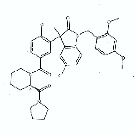 COc1ccc(CN2C(=O)C(C)(c3cc(C(=O)N4CCCC[C@@H]4C(=O)N4CCCC4)ccc3Cl)c3cc(Cl)ccc32)c(OC)c1